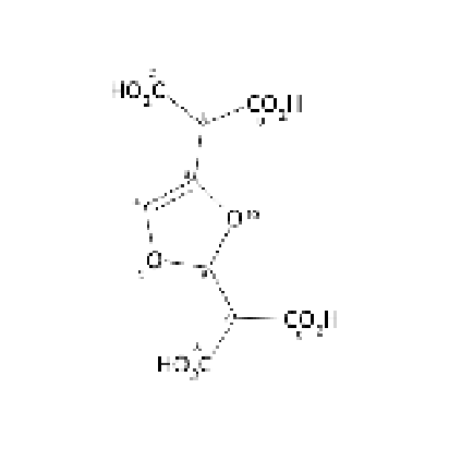 O=C(O)C(C(=O)O)C1=COC(C(C(=O)O)C(=O)O)O1